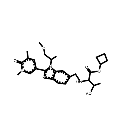 COCC(C)n1c(-c2cc(C)c(=O)n(C)c2)nc2ccc(CNC(C(=O)OC3CCC3)C(C)O)cc21